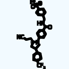 CCS(=O)(=O)c1ccc(CNC(=O)c2ccc(N3CC(c4ccc(C(F)(F)F)cc4)C[C@H]3CCC#N)cc2)cc1